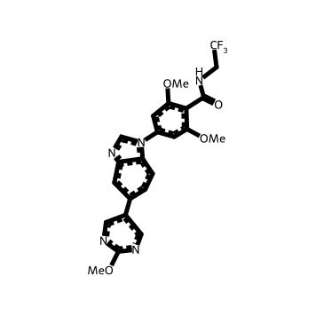 COc1ncc(-c2ccc3c(c2)ncn3-c2cc(OC)c(C(=O)NCC(F)(F)F)c(OC)c2)cn1